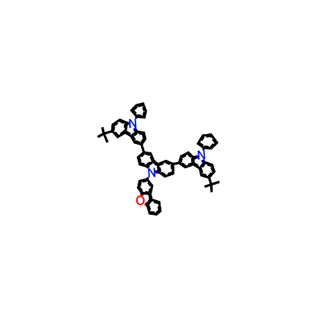 CC(C)(C)c1ccc2c(c1)c1cc(-c3ccc4c(c3)c3cc(-c5ccc6c(c5)c5cc(C(C)(C)C)ccc5n6-c5ccccc5)ccc3n4-c3ccc4oc5ccccc5c4c3)ccc1n2-c1ccccc1